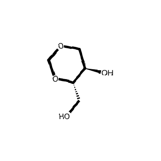 OC[C@@H]1OCOC[C@H]1O